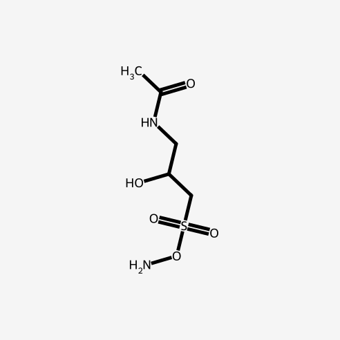 CC(=O)NCC(O)CS(=O)(=O)ON